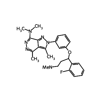 CNCCC(Oc1cccc(-n2nc3c(N(C)C)nnc(C)c3c2C)c1)c1ccccc1F